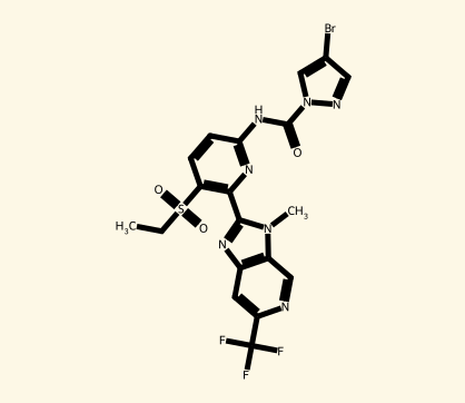 CCS(=O)(=O)c1ccc(NC(=O)n2cc(Br)cn2)nc1-c1nc2cc(C(F)(F)F)ncc2n1C